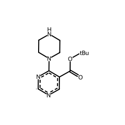 CC(C)(C)OC(=O)c1cn[c]nc1N1CCNCC1